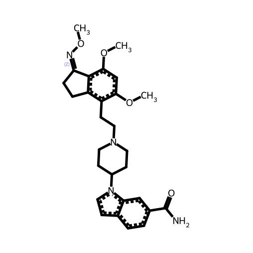 CO/N=C1/CCc2c(CCN3CCC(n4ccc5ccc(C(N)=O)cc54)CC3)c(OC)cc(OC)c21